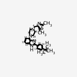 Cc1nc(CN2CCN(c3cccc4[nH]c(-c5ccc(C(C)(C)C)cc5)nc34)CC2)c(C)s1